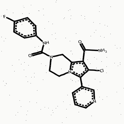 NC(=O)c1c(Cl)c(-c2cccnc2)n2c1CN(C(=O)Nc1ccc(F)cc1)CC2